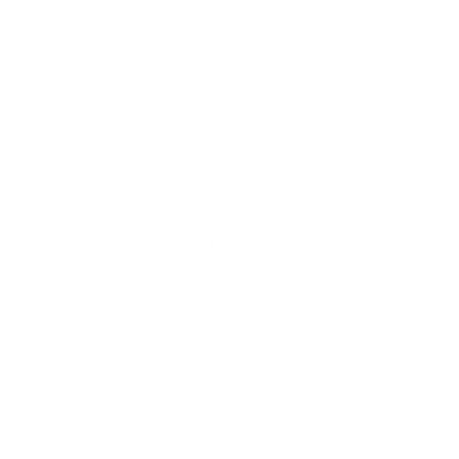 [c]1ccccc1-c1ccc2cccc3c2c1CC3